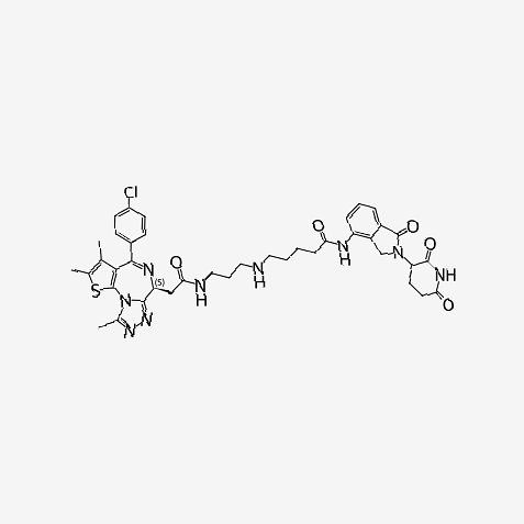 Cc1sc2c(c1C)C(c1ccc(Cl)cc1)=N[C@@H](CC(=O)NCCCNCCCCC(=O)Nc1cccc3c1CN(C1CCC(=O)NC1=O)C3=O)c1nnc(C)n1-2